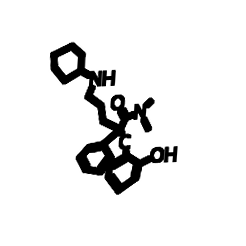 CN(C)C(=O)C(CCCNC1CCCCC1)(Cc1ccccc1O)c1ccccc1